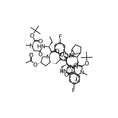 CC[C@H](NC(=O)[C@H](C)N(C)C(=O)OC(C)(C)C)C(=O)N1C[C@@H](OC(C)=O)C[C@H]1Cc1c(-c2[nH]c3cc(F)ccc3c2C[C@@H]2C3CCC(C3)N2C(=O)[C@H](CC)NC(=O)[C@H](C)N(C)C(=O)OC(C)(C)C)[nH]c2cc(F)ccc12